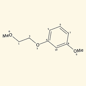 COCCOc1cc[c]c(OC)c1